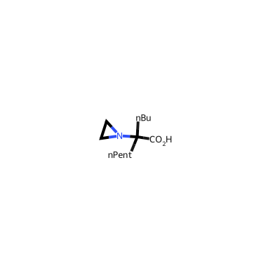 CCCCCC(CCCC)(C(=O)O)N1CC1